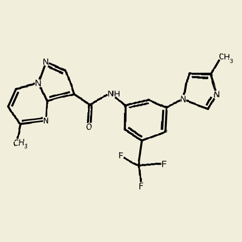 Cc1cn(-c2cc(NC(=O)c3cnn4ccc(C)nc34)cc(C(F)(F)F)c2)cn1